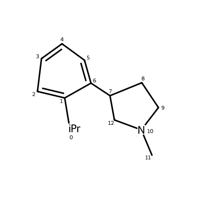 CC(C)c1ccccc1C1CCN(C)C1